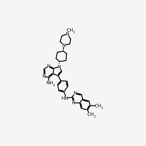 Cc1cc2cnc(Nc3ccc(-c4cn([C@H]5CC[C@H](N6CCN(C)CC6)CC5)c5ncnc(N)c45)cc3)nc2cc1C